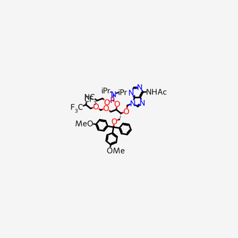 COc1ccc(C(OC[C@@H](OCn2cnc3c(NC(C)=O)ncnc32)C(COCOCC(C(F)(F)F)C(F)(F)F)OP(OCCC#N)N(C(C)C)C(C)C)(c2ccccc2)c2ccc(OC)cc2)cc1